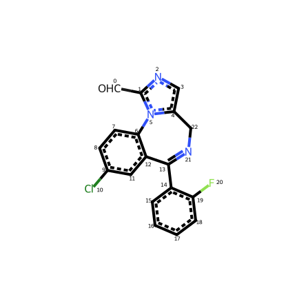 O=Cc1ncc2n1-c1ccc(Cl)cc1C(c1ccccc1F)=NC2